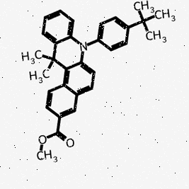 COC(=O)c1ccc2c3c(ccc2c1)N(c1ccc(C(C)(C)C)cc1)c1ccccc1C3(C)C